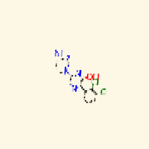 CC1(N)CCN(c2cnc(-c3cccc(Cl)c3Cl)c(O)n2)CC1